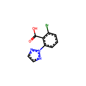 O=C(O)c1c(Br)cccc1-n1nccn1